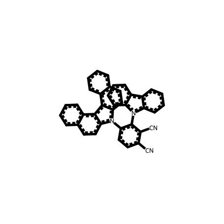 N#Cc1ccc(-n2c3ccc4ccccc4c3c3c4ccccc4ccc32)c(-n2c3ccccc3c3ccccc32)c1C#N